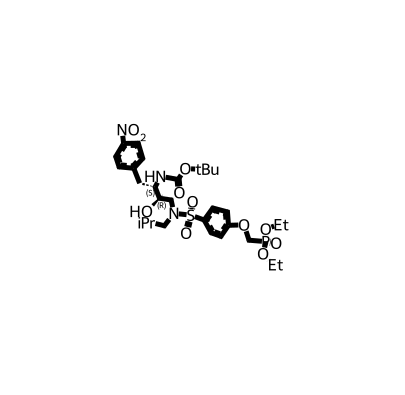 CCOP(=O)(COc1ccc(S(=O)(=O)N(CC(C)C)C[C@@H](O)[C@H](Cc2ccc([N+](=O)[O-])cc2)NC(=O)OC(C)(C)C)cc1)OCC